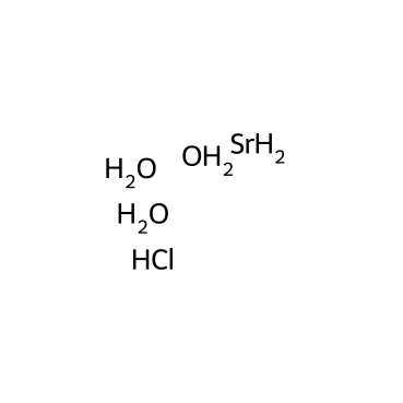 Cl.O.O.O.[SrH2]